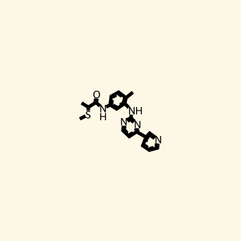 CSC(C)C(=O)Nc1ccc(C)c(Nc2nccc(-c3cccnc3)n2)c1